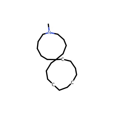 CN1CCCCCC2(CCCCCCCCCCC2)CCCC1